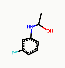 CC(O)Nc1cccc(F)c1